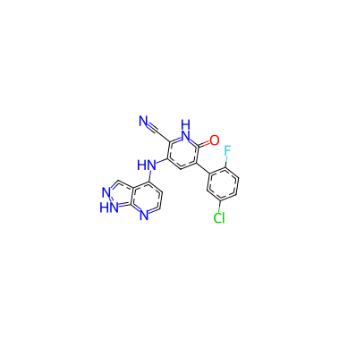 N#Cc1[nH]c(=O)c(-c2cc(Cl)ccc2F)cc1Nc1ccnc2[nH]ncc12